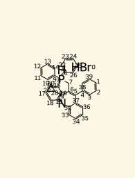 Br.c1ccc(-c2c(C[PH](c3ccccc3)(c3ccccc3)c3ccccc3)c(C3CC3)nc3ccccc23)cc1